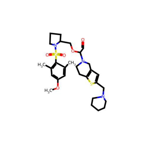 COc1cc(C)c(S(=O)(=O)N2CCCC2COC(C=O)N2CCc3sc(CN4CCCCC4)cc3C2)c(C)c1